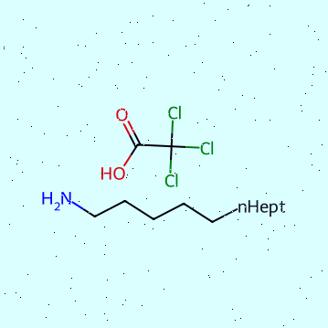 CCCCCCCCCCCCN.O=C(O)C(Cl)(Cl)Cl